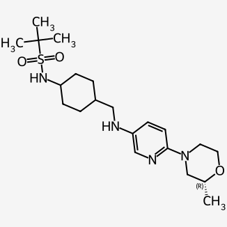 C[C@@H]1CN(c2ccc(NCC3CCC(NS(=O)(=O)C(C)(C)C)CC3)cn2)CCO1